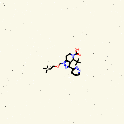 CC(C)(C)C1c2c(-c3cccnn3)nn(COCC[Si](C)(C)C)c2CCN1C(=O)O